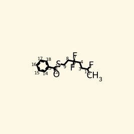 CC(F)CCC(F)(F)CCSC(=O)c1ccccc1